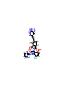 Cc1c(C#Cc2ccc(N)nc2)ccc2c1C(=O)N(C(C(=O)Nc1ccccn1)c1cc(F)ccc1O)C2